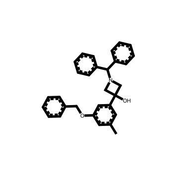 Cc1cc(OCc2ccccc2)cc(C2(O)CN(C(c3ccccc3)c3ccccc3)C2)c1